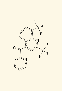 O=C(c1ccccn1)c1cc(C(F)(F)F)nc2c(C(F)(F)F)cccc12